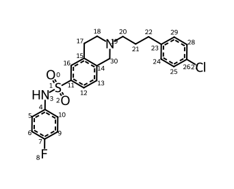 O=S(=O)(Nc1ccc(F)cc1)c1ccc2c(c1)CCN(CCCc1ccc(Cl)cc1)C2